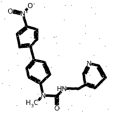 CN(C(=O)NCc1cccnc1)c1ccc(-c2ccc([N+](=O)[O-])cc2)cc1